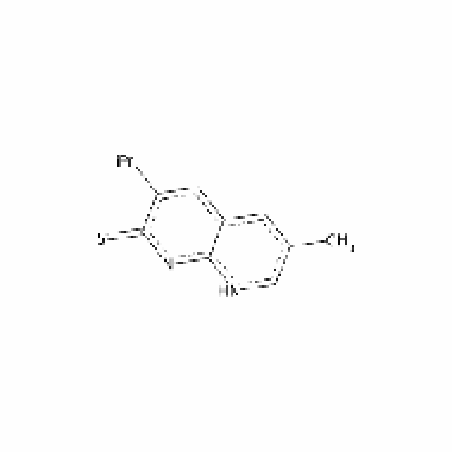 Cc1c[nH]c2nc(=S)c(C(C)C)cc-2c1